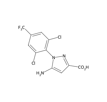 Nc1cc(C(=O)O)nn1-c1c(Cl)cc(C(F)(F)F)cc1Cl